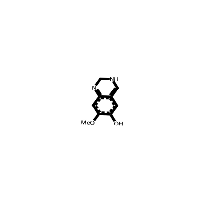 COc1cc2c(cc1O)=CNCN=2